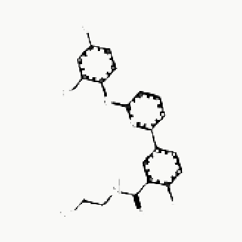 N#CCCNC(=O)c1cc(-c2cccc(Oc3ccc(Cl)cc3Cl)n2)ccc1F